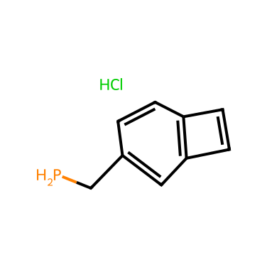 Cl.PCc1ccc2c(c1)C=C2